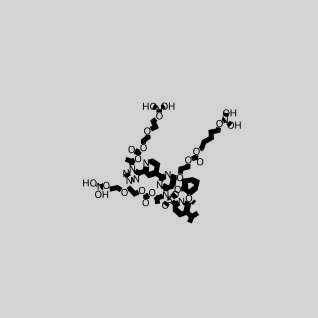 COc1ccccc1Oc1c(OCCOC(=O)OCCCCCON(O)O)nc(-c2ccnc(-c3nnnn3C(C)OC(=O)OCCOCCON(O)O)c2)nc1N(C(C)OC(=O)OCCOCCON(O)O)S(=O)(=O)c1ccc(C(C)C)cn1